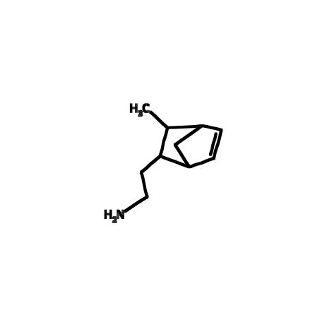 CC1C2C=CC(C2)C1CCN